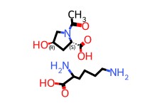 CC(=O)N1C[C@H](O)C[C@H]1C(=O)O.NCCCCC(N)C(=O)O